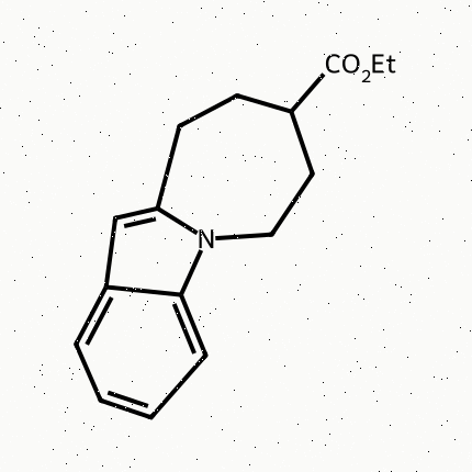 CCOC(=O)C1CCc2cc3ccccc3n2CC1